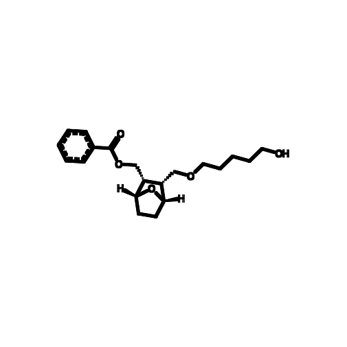 O=C(OC[C@@H]1[C@H](COCCCCCO)[C@@H]2CC[C@H]1O2)c1ccccc1